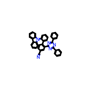 N#Cc1ccc(-c2ccccc2-n2c3ccccc3c3ccccc32)c(-c2nc(-c3ccccc3)nc(-c3ccccc3)n2)c1